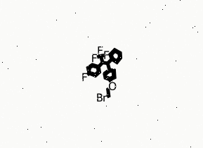 Fc1ccc(C(C(c2ccccc2)c2ccc(OCCBr)cc2)C(F)(F)F)cc1